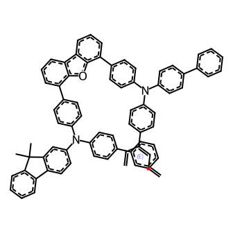 C=C/C=C(\C=C)c1ccc(N(c2ccc(-c3ccccc3)cc2)c2ccc(-c3cccc4c3oc3c(-c5ccc(N(c6ccc(-c7ccccc7)cc6)c6ccc7c(c6)C(C)(C)c6ccccc6-7)cc5)cccc34)cc2)cc1